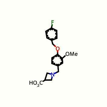 COc1cc(CN2CC(C(=O)O)C2)ccc1OCc1ccc(F)cc1